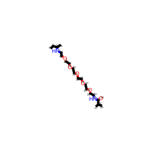 CCC(C)NCCOCCOCCOCCOCCOCCNC(=O)C(C)C